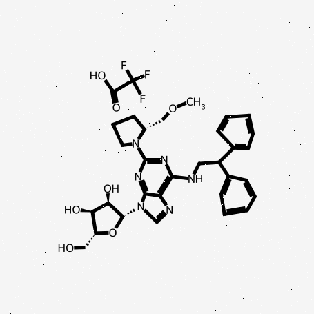 COC[C@H]1CCCN1c1nc(NCC(c2ccccc2)c2ccccc2)c2ncn([C@@H]3O[C@H](CO)[C@@H](O)[C@H]3O)c2n1.O=C(O)C(F)(F)F